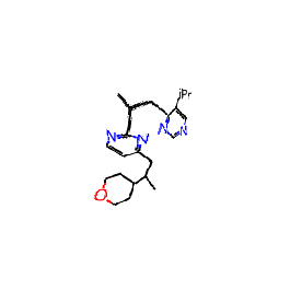 CC(C)c1cncnc1CC(C)c1nccc(CC(C)C2CCOCC2)n1